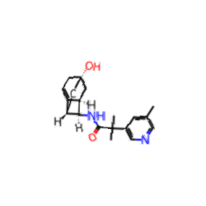 Cc1cncc(C(C)(C)C(=O)N[C@@H]2[C@@H]3C[C@]4(O)CC=C3[C@@H]2C4)c1